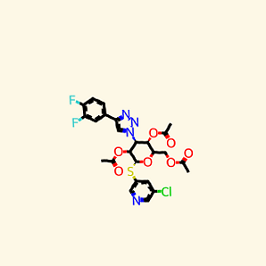 CC(=O)OCC1O[C@H](Sc2cncc(Cl)c2)C(OC(C)=O)[C@@H](n2cc(-c3ccc(F)c(F)c3)nn2)[C@H]1OC(C)=O